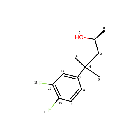 C[C@H](O)CC(C)(C)c1ccc(F)c(F)c1